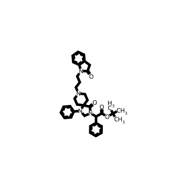 CC(C)(C)OC(=O)C(c1ccccc1)N1CN(c2ccccc2)C2(CCN(CCCN3C(=O)Cc4ccccc43)CC2)C1=O